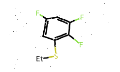 CCSc1[c]c(F)cc(F)c1F